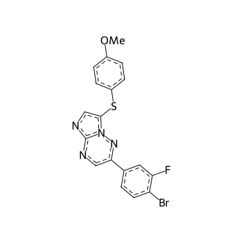 COc1ccc(Sc2cnc3ncc(-c4ccc(Br)c(F)c4)nn23)cc1